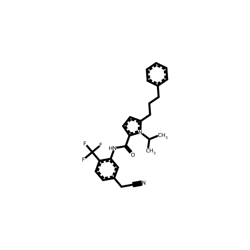 CC(C)n1c(CCCc2ccccc2)ccc1C(=O)Nc1cc(CC#N)ccc1C(F)(F)F